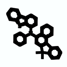 CC1(C)c2ccccc2-c2c1cc(N(c1ccccc1)c1cccc3c1sc1ccccc13)c1ccccc21